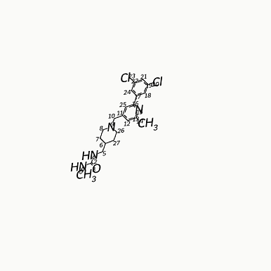 CNC(=O)NCC1CCN(Cc2cc(C)nc(-c3cc(Cl)cc(Cl)c3)c2)CC1